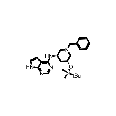 CC(C)(C)[Si](C)(C)O[C@@H]1C[C@@H](Nc2ncnc3[nH]ccc23)CN(Cc2ccccc2)C1